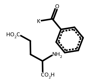 NC(CCC(=O)O)C(=O)O.O=[C]([K])c1ccccc1